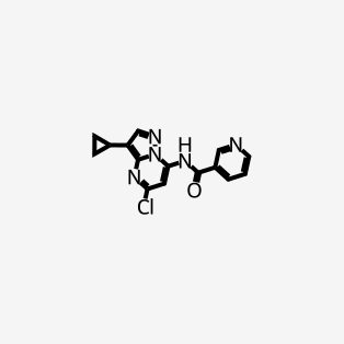 O=C(Nc1cc(Cl)nc2c(C3CC3)cnn12)c1cccnc1